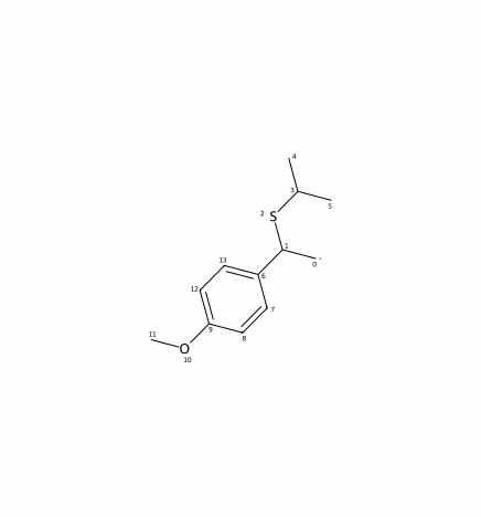 [CH2]C(SC(C)C)c1ccc(OC)cc1